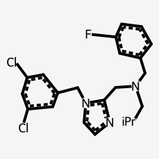 CC(C)CN(Cc1cccc(F)c1)Cc1nccn1Cc1cc(Cl)cc(Cl)c1